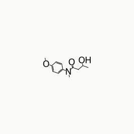 COc1ccc(N(C)C(=O)CC(C)O)cc1